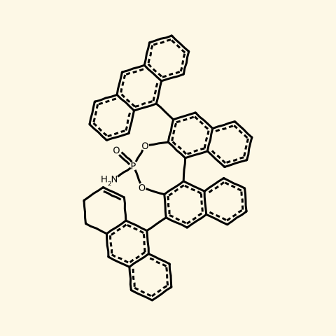 NP1(=O)Oc2c(-c3c4c(cc5ccccc35)CCC=C4)cc3ccccc3c2-c2c(c(-c3c4ccccc4cc4ccccc34)cc3ccccc23)O1